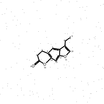 O=C1CCc2cc3c(CI)coc3cc2O1